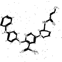 CC=CC(=O)NC1CCCN(c2cnc(Oc3ccc(Oc4ccccc4)cc3)c(C(N)=O)c2)C1